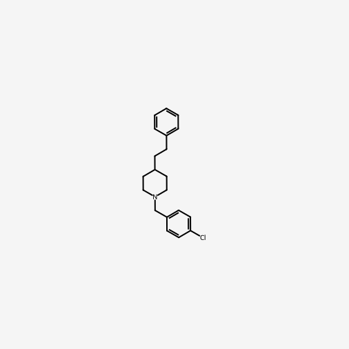 Clc1ccc(CN2CCC(CCc3ccccc3)CC2)cc1